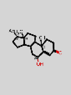 CC(=O)[C@@H]1CCC2C3C[C@H](O)C4=CC(=O)CC[C@@]4(C)C3CC[C@]21C